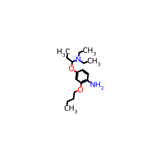 CCCCOc1cc(OC(CC)N(CC)CC)ccc1N